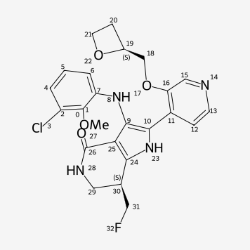 COc1c(Cl)cccc1Nc1c(-c2ccncc2OC[C@@H]2CCO2)[nH]c2c1C(=O)NC[C@@H]2CF